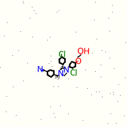 C[C@H](c1ccc(C#N)cc1)N1CCN(c2ccc(OCCO)cc2Cl)[C@H](c2ccc(Cl)cc2)C1